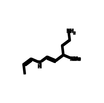 C/C=C\N/C=C/C(CCN)NC